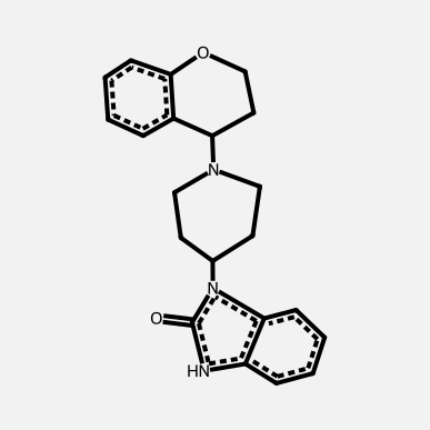 O=c1[nH]c2ccccc2n1C1CCN(C2CCOc3ccccc32)CC1